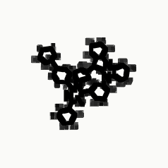 c1ccc(-c2ccc(-c3nc(-c4ccccc4)nc(-c4cccc(-n5c6ccccc6n6c7ccccc7c(-c7ccccc7)c56)c4)n3)cc2)cc1